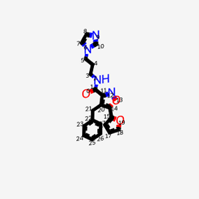 O=C(NCCCn1ccnc1)c1noc(-c2ccco2)c1Cc1ccccc1